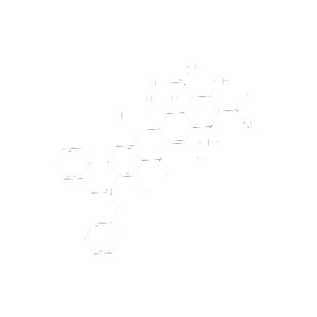 C[C@H]1c2ccc(N(Cc3ccccc3)Cc3ccccc3)c(O)c2C(=O)C2=C(O)[C@]3(O)C(=O)C(C(N)=O)=C(O)[C@@H](N(C)C)[C@@H]3[C@@H](O)[C@@H]21